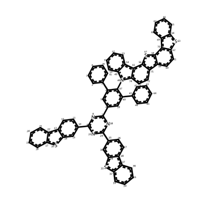 c1ccc(-c2cc(-c3nc(-c4ccc5c(c4)sc4ccccc45)nc(-c4ccc5c(c4)sc4ccccc45)n3)cc(-c3ccccc3)c2-n2c3ccccc3c3c4sc5c(ccc6sc7ccccc7c65)c4ccc32)cc1